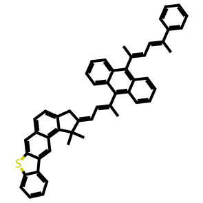 C/C(=C\C=C(/C)c1c2ccccc2c(/C(C)=C/C=C2\Cc3ccc4cc5sc6ccccc6c5cc4c3C2(C)C)c2ccccc12)c1ccccc1